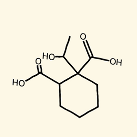 CC(O)C1(C(=O)O)CCCCC1C(=O)O